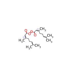 CC(C)=CCC/C(C)=C\C(=O)OOC(=O)/C=C(/C)CCC=C(C)C